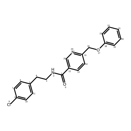 O=C(NCCc1ccc(Cl)cc1)c1ccc(COc2ccccc2)nc1